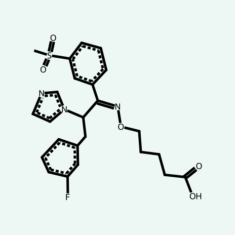 CS(=O)(=O)c1cccc(C(=NOCCCCC(=O)O)C(Cc2cccc(F)c2)n2ccnc2)c1